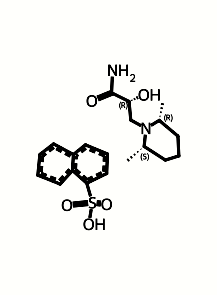 C[C@@H]1CCC[C@H](C)N1C[C@@H](O)C(N)=O.O=S(=O)(O)c1cccc2ccccc12